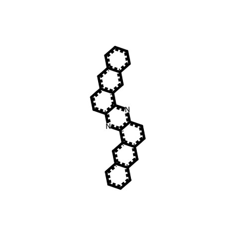 c1ccc2cc3c(ccc4nc5c(ccc6cc7ccccc7cc65)nc43)cc2c1